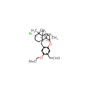 COCOc1cc2c(cc1CC=O)O[C@]1(C)CC[C@H]3C(C)(C)[C@@H](Br)CC[C@]3(C2)[C@@H]1C